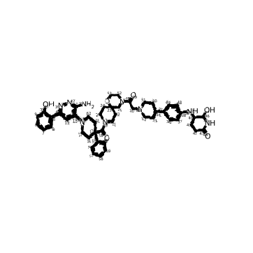 Nc1nnc(-c2ccccc2O)cc1N1CCC(C(=O)N2CCC3(CC2)CN(C(=O)CN2CCC(c4ccc(NC5CCC(=O)NC5O)cc4)CC2)CCO3)(c2ccccc2)CC1